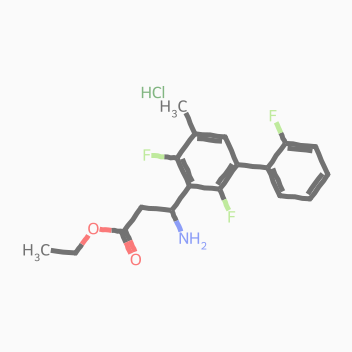 CCOC(=O)CC(N)c1c(F)c(C)cc(-c2ccccc2F)c1F.Cl